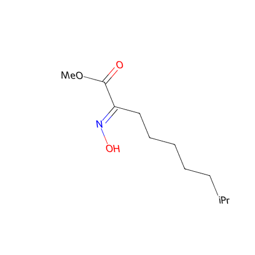 COC(=O)C(CCCCCC(C)C)=NO